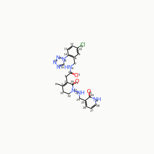 CC1=C(CC(=O)NCc2cc(Cl)ccc2-n2cnnn2)C(=O)N(NCc2ccc[nH]c2=O)CC1